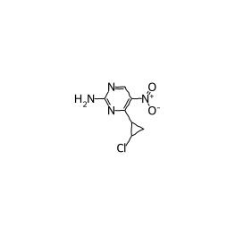 Nc1ncc([N+](=O)[O-])c(C2CC2Cl)n1